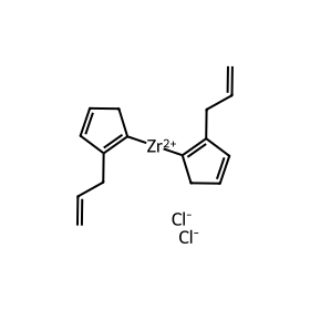 C=CCC1=[C]([Zr+2][C]2=C(CC=C)C=CC2)CC=C1.[Cl-].[Cl-]